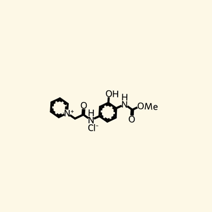 COC(=O)Nc1ccc(NC(=O)C[n+]2ccccc2)cc1O.[Cl-]